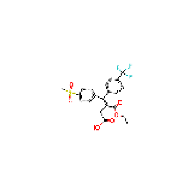 CCOC(=O)C(CC(=O)O)=C(c1ccc(C(F)(F)F)cc1)c1ccc(S(C)(=O)=O)cc1